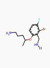 CCNCc1c(OC(C)CCCN)ccc(F)c1Br